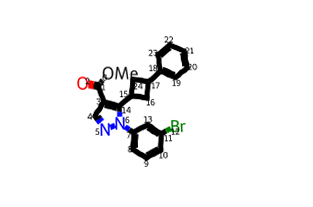 COC(=O)c1cnn(-c2cccc(Br)c2)c1C1CC(c2ccccc2)C1